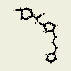 O=C(Nc1nnc(NCCc2cccs2)s1)c1ccc(I)cc1